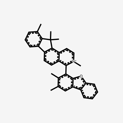 Cc1cc2c(oc3ccccc32)c(-c2c3ccc4c(c3cc[n+]2C)C(C)(C)c2c(C)cccc2-4)c1C